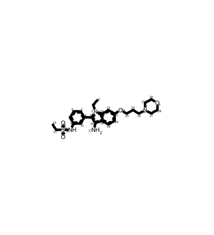 CCn1c(-c2cccc(NS(=O)(=O)CC)c2)c(N)c2ccc(OCCCN3CCOCC3)cc21